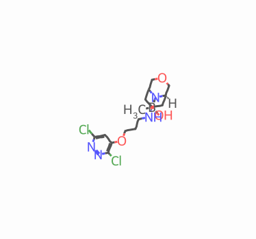 CB(O)N1C2COC[C@H]1C[C@H](NCCCOc1cc(Cl)nnc1Cl)C2